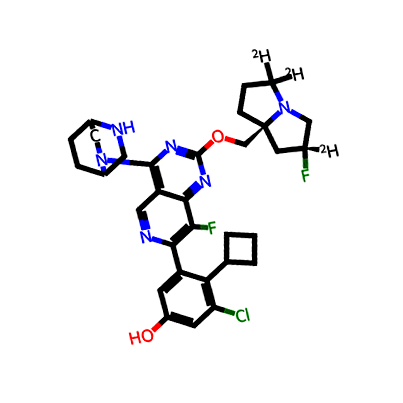 [2H]C1([2H])CC[C@@]2(COc3nc(N4CC5CCC4CN5)c4cnc(-c5cc(O)cc(Cl)c5C5CCC5)c(F)c4n3)C[C@@]([2H])(F)CN12